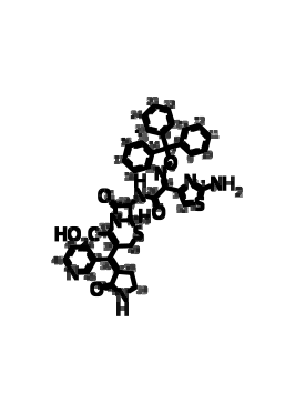 Nc1nc(C(=NOC(c2ccccc2)(c2ccccc2)c2ccccc2)C(=O)N[C@@H]2C(=O)N3C(C(=O)O)=C(C(=C4CCNC4=O)c4cccnc4)CS[C@H]23)cs1